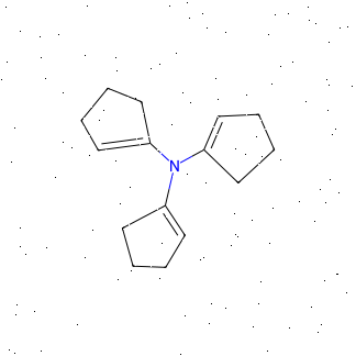 C1=C(N(C2=CCCC2)C2=CCCC2)CCC1